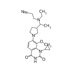 CCN(CCC#N)C(C)C1CCN(c2ccc3c(=O)[nH]c(=O)n(C4CC4)c3c2OC)C1